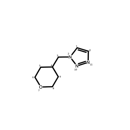 [c]1cn(CC2CCOCC2)nn1